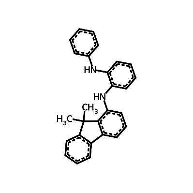 CC1(C)c2ccccc2-c2cccc(Nc3ccccc3Nc3ccccc3)c21